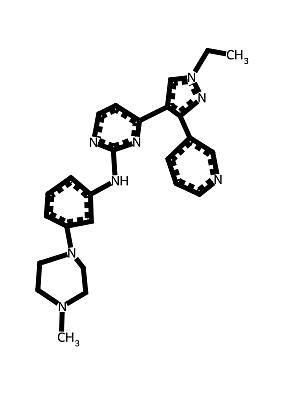 CCn1cc(-c2ccnc(Nc3cccc(N4CCN(C)CC4)c3)n2)c(-c2cccnc2)n1